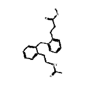 COC(=O)CCc1ccccc1Cc1ccccc1CCNC(C)=O